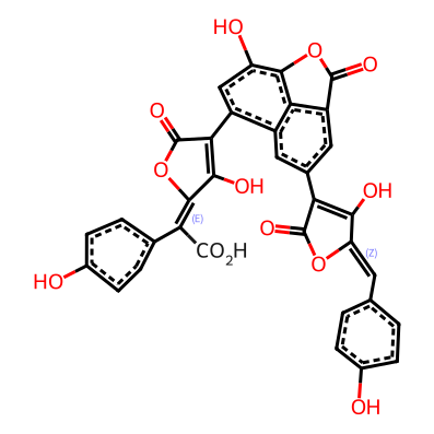 O=C1O/C(=C\c2ccc(O)cc2)C(O)=C1c1cc2c3c(c(O)cc(C4=C(O)/C(=C(\C(=O)O)c5ccc(O)cc5)OC4=O)c3c1)OC2=O